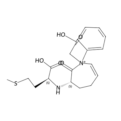 CSCC[C@H](N[C@H]1CCC=C[N+](CC(=O)O)(c2ccccc2)C1=O)C(=O)O